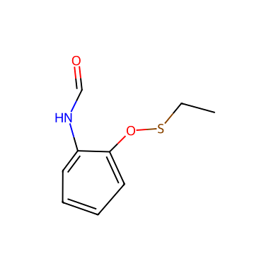 CCSOc1ccccc1NC=O